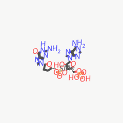 CSP(=O)(OC[C@@H]1CC[C@H](n2cnc3c(=O)[nH]c(N)nc32)O1)O[C@H]1[C@@H](O)[C@H](n2cnc3c(N)ncnc32)O[C@@H]1COP(=O)(O)O